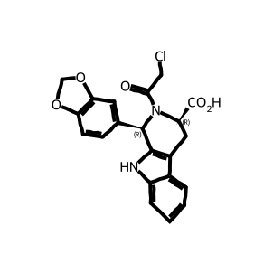 O=C(O)[C@H]1Cc2c([nH]c3ccccc23)[C@@H](c2ccc3c(c2)OCO3)N1C(=O)CCl